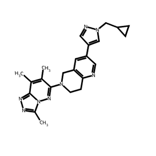 Cc1c(N2CCc3ncc(-c4cnn(CC5CC5)c4)cc3C2)nn2c(C)nnc2c1C